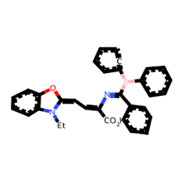 CCN1C(=CC=C(N=C(B(c2ccccc2)c2ccccc2)c2ccccc2)C(=O)O)Oc2ccccc21